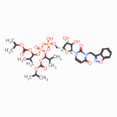 CC(C)OC(=O)OC(OP(=O)(OC(OC(=O)OC(C)C)C(C)C)OP(=O)(O)OC[C@H]1O[C@@H](n2ccc(=O)n(Cc3noc4ccccc34)c2=O)C(O)[C@H]1O)C(C)C